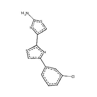 Nc1nc(-c2nc(-c3cccc(Cl)c3)cs2)cs1